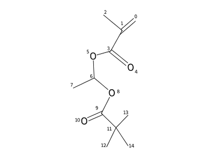 C=C(C)C(=O)OC(C)OC(=O)C(C)(C)C